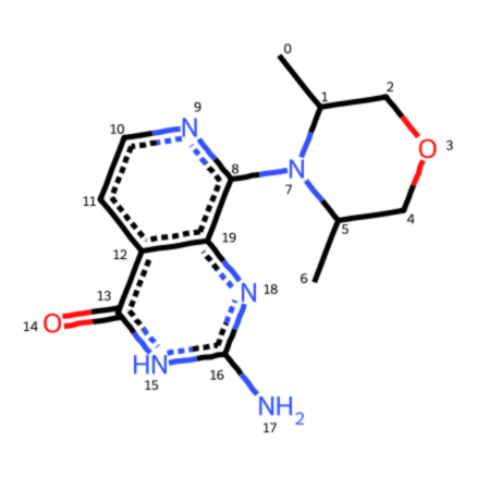 CC1COCC(C)N1c1nccc2c(=O)[nH]c(N)nc12